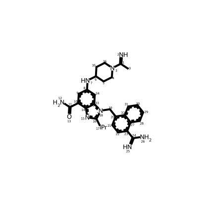 CC(=N)N1CCC(Nc2cc(C(N)=O)c3nc(C(C)C)n(Cc4ccc(C(=N)N)c5ccccc45)c3c2)CC1